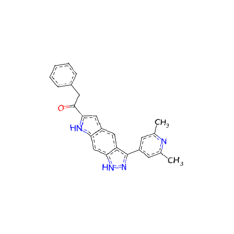 Cc1cc(-c2n[nH]c3cc4[nH]c(C(=O)Cc5ccccc5)cc4cc23)cc(C)n1